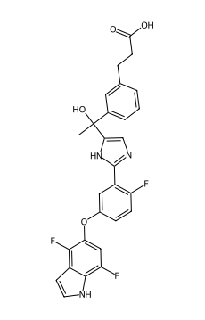 CC(O)(c1cccc(CCC(=O)O)c1)c1cnc(-c2cc(Oc3cc(F)c4[nH]ccc4c3F)ccc2F)[nH]1